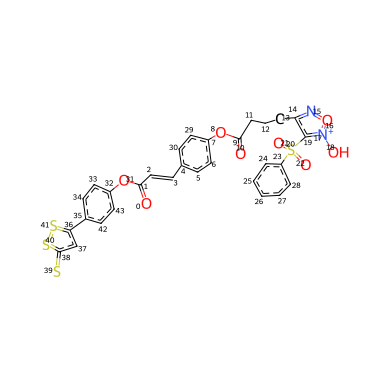 O=C(/C=C/c1ccc(OC(=O)CCCc2no[n+](O)c2S(=O)(=O)c2ccccc2)cc1)Oc1ccc(-c2cc(=S)ss2)cc1